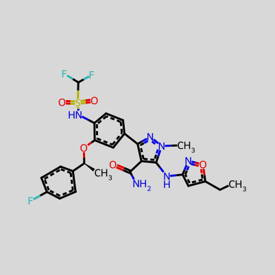 CCc1cc(Nc2c(C(N)=O)c(-c3ccc(NS(=O)(=O)C(F)F)c(O[C@@H](C)c4ccc(F)cc4)c3)nn2C)no1